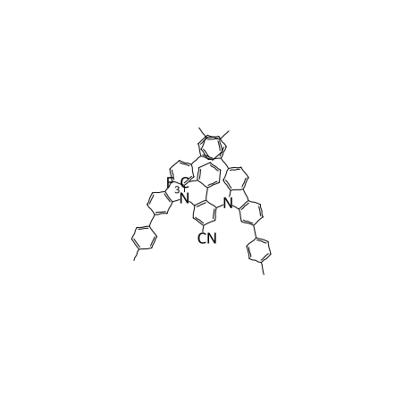 Cc1ccc(-c2ccc3c4ccc(-c5ccc(C)cc5)cc4n(-c4cc(C#N)cc(-n5c6cc(-c7ccc(C)cc7)ccc6c6ccc(-c7ccc(C)cc7)cc65)c4-c4ccccc4C(F)(F)F)c3c2)cc1